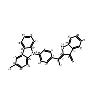 C=c1/c(=C(\C)c2ccc(-n3c4ccccc4c4cc(C)ccc43)cc2)oc2ccccc12